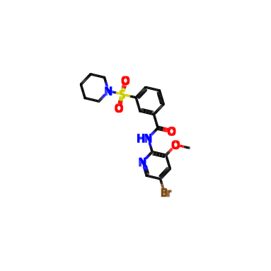 COc1cc(Br)cnc1NC(=O)c1cccc(S(=O)(=O)N2CCCCC2)c1